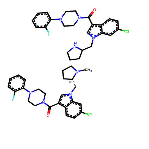 CN1CCC[C@H]1Cn1cc(C(=O)N2CCN(c3ccccc3F)CC2)c2ccc(Cl)cc21.O=C(c1cn(CC2CCCN2)c2cc(Cl)ccc12)N1CCN(c2ccccc2F)CC1